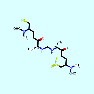 C[C@H](NCN[C@H](C)C(=O)CCC(C[SH](=S)=S)N(C)C=O)C(=O)CCC(CS)N(C)C=O